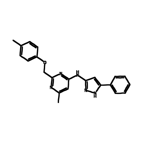 Cc1ccc(OCc2nc(C)cc(Nc3cc(-c4ccccc4)[nH]n3)n2)cc1